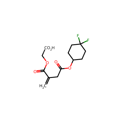 C=C(CC(=O)OC1CCC(F)(F)CC1)C(=O)OCC(=O)O